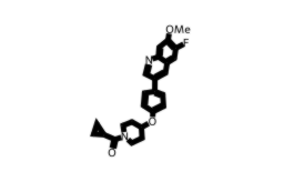 COc1cc2ncc(-c3ccc(OC4CCN(C(=O)C5CC5)CC4)cc3)cc2cc1F